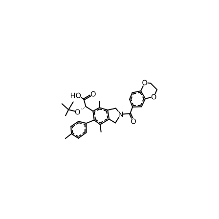 Cc1ccc(-c2c(C)c3c(c(C)c2[C@H](OC(C)(C)C)C(=O)O)CN(C(=O)c2ccc4c(c2)OCCO4)C3)cc1